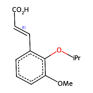 COc1cccc(/C=C/C(=O)O)c1OC(C)C